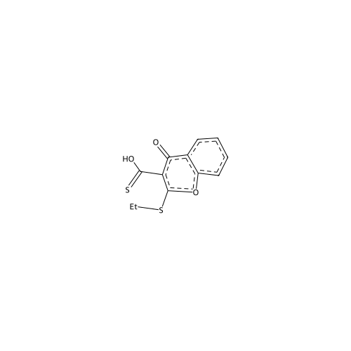 CCSc1oc2ccccc2c(=O)c1C(O)=S